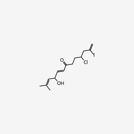 C=C(I)CC(Cl)CCC(=O)C=CC(O)C=C(C)C